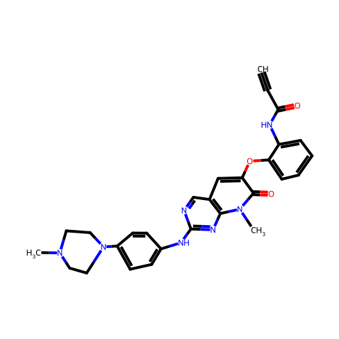 C#CC(=O)Nc1ccccc1Oc1cc2cnc(Nc3ccc(N4CCN(C)CC4)cc3)nc2n(C)c1=O